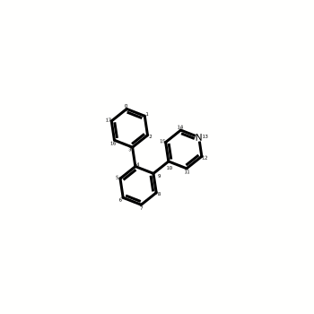 [c]1ccc(-c2ccccc2-c2ccncc2)cc1